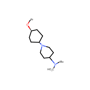 CC(C)O[C@H]1CC[C@@H](N2CCC(N(C(=O)O)C(C)(C)C)CC2)CC1